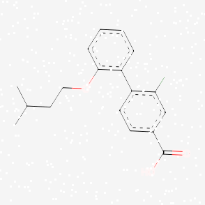 CC(C)CCOc1ccccc1-c1ccc(C(=O)O)cc1Cl